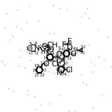 CS(=O)(=O)N(CCN1CCOCC1)c1cc(OCc2ccccc2)cc(C(=O)O[C@@H](Cc2c(Cl)cncc2Cl)c2ccc(OC(F)F)c(OCC3CC3)c2)c1